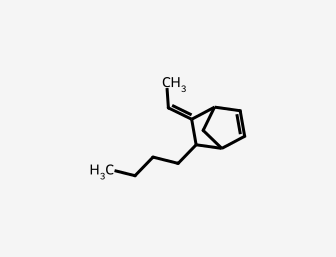 CC=C1C2C=CC(C2)C1CCCC